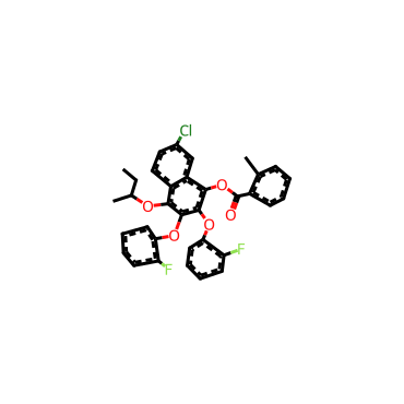 CCC(C)Oc1c(Oc2ccccc2F)c(Oc2ccccc2F)c(OC(=O)c2ccccc2C)c2cc(Cl)ccc12